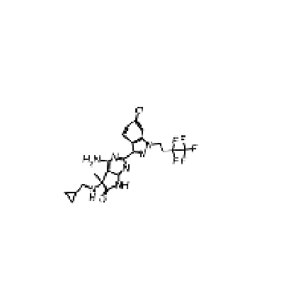 CC1(NCC2CC2)C(=O)Nc2nc(-c3nn(CCC(F)(F)C(F)(F)F)c4cc(Cl)ccc34)nc(N)c21